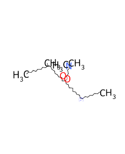 CCCCCCCC/C=C\CCCCCCCCC(CCCCCCCCC(C)CCCCCCCCC)OC(=O)CCCN(C)C